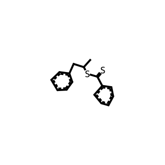 CC(Cc1ccccc1)SC(=S)c1ccccc1